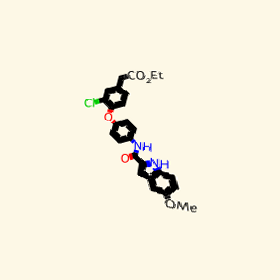 CCOC(=O)Cc1ccc(Oc2ccc(NC(=O)c3cc4cc(OC)ccc4[nH]3)cc2)c(Cl)c1